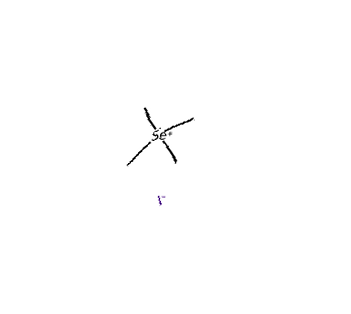 C[Se+](C)(C)C.[I-]